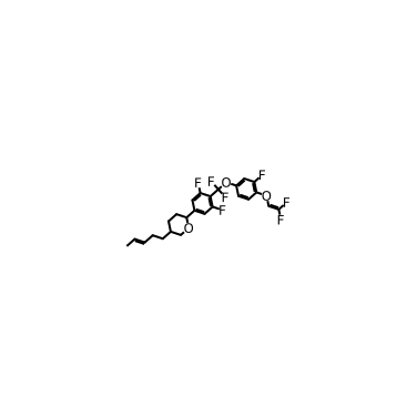 C/C=C/CCC1CCC(c2cc(F)c(C(F)(F)Oc3ccc(OC=C(F)F)c(F)c3)c(F)c2)OC1